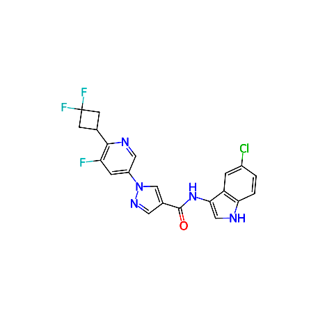 O=C(Nc1c[nH]c2ccc(Cl)cc12)c1cnn(-c2cnc(C3CC(F)(F)C3)c(F)c2)c1